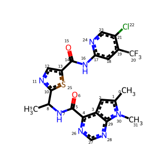 Cc1cc2c(C(=O)NC(C)c3ncc(C(=O)Nc4cc(C(F)(F)F)c(Cl)cn4)s3)ncnc2n1C